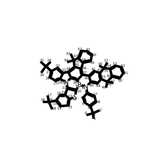 CC(C)(C)c1ccc(N2B3c4sc5ccc(C(C)(C)C)cc5c4-n4c5ccc(C(C)(C)C)cc5c5c6c(c(c3c54)-c3cc4c(cc32)C(C)(C)c2ccccc2C4(C)C)-c2ccccc2C6(C)C)cc1